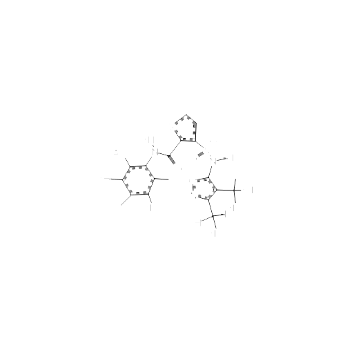 [2H]c1c(C)c([2H])c(C(C)=O)c(N([2H])C(=O)c2sccc2S(=O)(=O)N([2H])c2onc(C([2H])([2H])[2H])c2C([2H])([2H])[2H])c1C